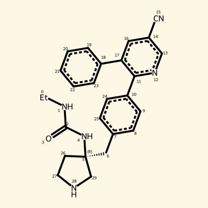 CCNC(=O)N[C@]1(Cc2ccc(-c3ncc(C#N)cc3-c3ccccc3)cc2)CCNC1